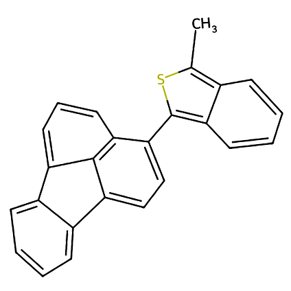 Cc1sc(-c2ccc3c4c(cccc24)-c2ccccc2-3)c2ccccc12